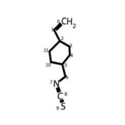 C=CC1CCC(CN=C=S)CC1